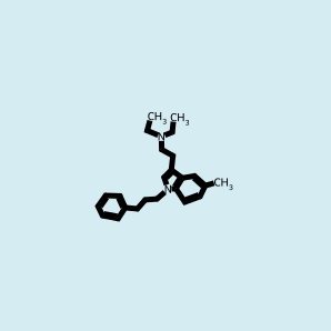 CCN(CC)CCc1cn(CCCc2ccccc2)c2ccc(C)cc12